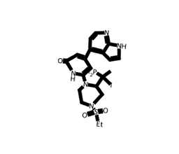 CCS(=O)(=O)N1CCN(c2cc(-c3ccnc4[nH]ccc34)cc(=O)[nH]2)C(C(C)(P)I)C1